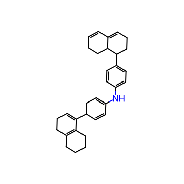 C1=CC2=CCCC(c3ccc(NC4=CCC(C5=CCCC6=C5CCCC6)C=C4)cc3)C2CC1